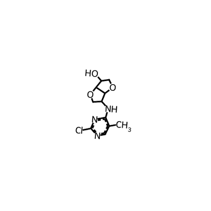 Cc1cnc(Cl)nc1NC1COC2C(O)COC12